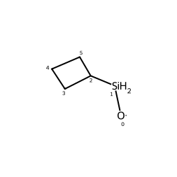 [O][SiH2]C1CCC1